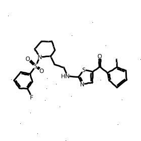 Cc1ccccc1C(=O)c1cnc(NCCC2CCCCN2S(=O)(=O)c2cccc(F)c2)s1